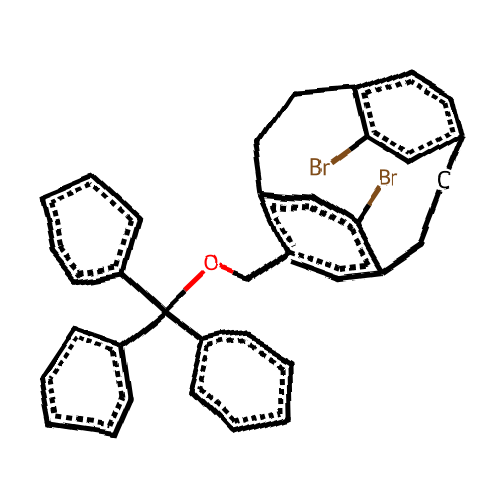 Brc1cc2c(COC(c3ccccc3)(c3ccccc3)c3ccccc3)cc1CCc1ccc(c(Br)c1)CC2